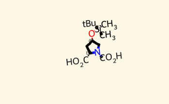 CC(C)(C)[Si](C)(C)O[C@H]1C[C@@H](C(=O)O)N(C(=O)O)C1